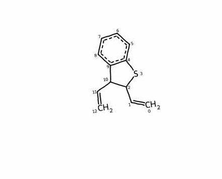 C=CC1Sc2ccccc2C1C=C